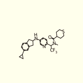 CN(C(=O)C1CCSCC1)C(c1ccc(NC2Cc3ccc(C4CC4)cc3C2)cn1)C(F)(F)F